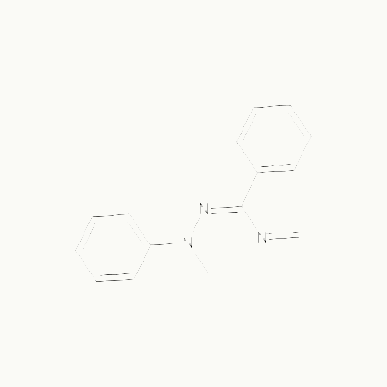 C=N/C(=N\N(C)c1ccccc1)c1ccccc1